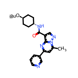 Cc1cc(-c2cccnc2)nc2c(C(=O)N[C@H]3CC[C@H](OCC(C)C)CC3)cnn12